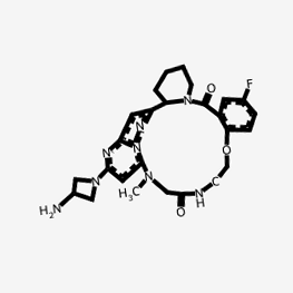 CN1CC(=O)NCCOc2ccc(F)cc2C(=O)N2CCCCC2c2cc3nc(N4CC(N)C4)cc1n3n2